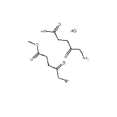 COC(=O)CCC(=O)CBr.Cl.NCC(=O)CCC(=O)O